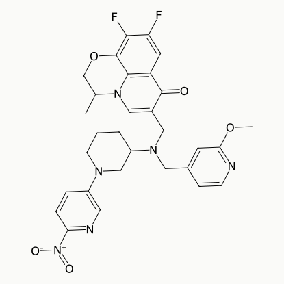 COc1cc(CN(Cc2cn3c4c(c(F)c(F)cc4c2=O)OCC3C)C2CCCN(c3ccc([N+](=O)[O-])nc3)C2)ccn1